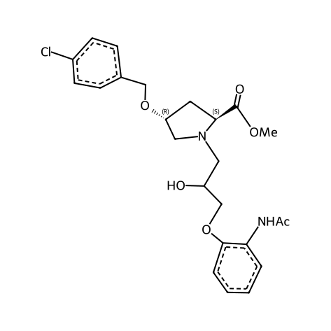 COC(=O)[C@@H]1C[C@@H](OCc2ccc(Cl)cc2)CN1CC(O)COc1ccccc1NC(C)=O